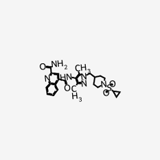 Cc1nn(CC2CCN(S(=O)(=O)C3CC3)CC2)c(C)c1NC(=O)c1cc(C(N)=O)nc2ccccc12